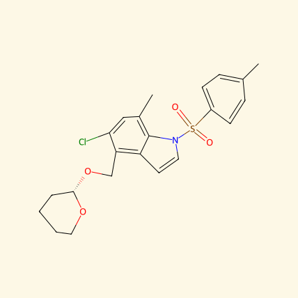 Cc1ccc(S(=O)(=O)n2ccc3c(CO[C@H]4CCCCO4)c(Cl)cc(C)c32)cc1